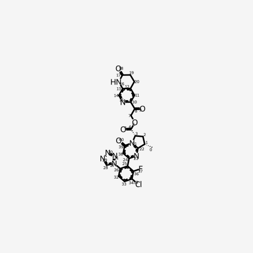 C[C@H]1C[C@@H](C(=O)OCC(=O)c2cc3c(cn2)NC(=O)CC3)n2c1nc(-c1c(-n3cnnn3)ccc(Cl)c1F)cc2=O